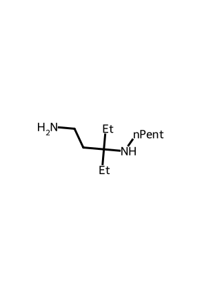 CCCCCNC(CC)(CC)CCN